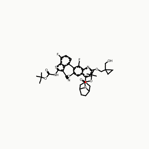 CC(C)(C)OC(=O)Nc1sc2c(F)ccc(-c3c(Cl)cc4c(N5CC6CCC(C5)N6C(=O)OC(C)(C)C)nc(OCC5(CO)CC5)nc4c3F)c2c1C#N